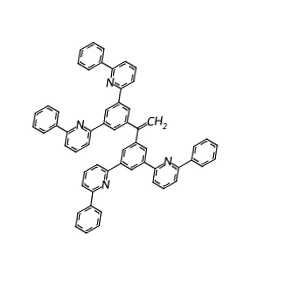 C=C(c1cc(-c2cccc(-c3ccccc3)n2)cc(-c2cccc(-c3ccccc3)n2)c1)c1cc(-c2cccc(-c3ccccc3)n2)cc(-c2cccc(-c3ccccc3)n2)c1